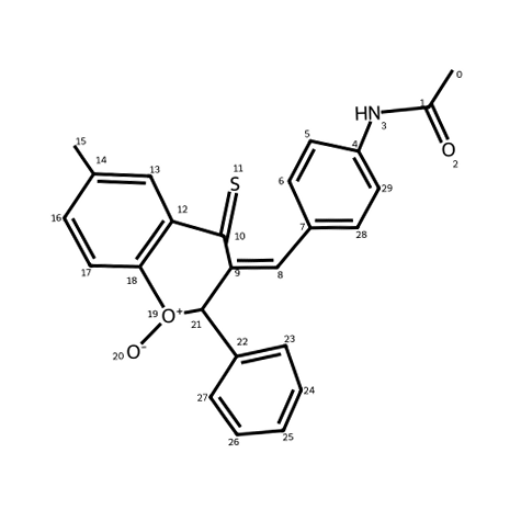 CC(=O)Nc1ccc(C=C2C(=S)c3cc(C)ccc3[O+]([O-])C2c2ccccc2)cc1